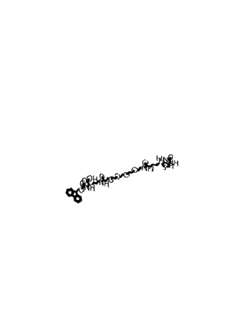 O=C(CCCC[C@@H]1SC[C@@H]2NC(=O)N[C@@H]21)NCCOCCOCCOCCOCCC(=O)NCCCC[C@H](NC(=O)OCC1c2ccccc2-c2ccccc21)C(=O)O